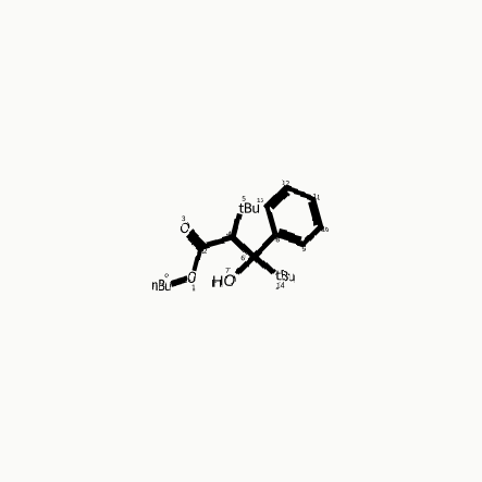 CCCCOC(=O)C(C(C)(C)C)C(O)(c1ccccc1)C(C)(C)C